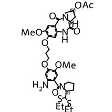 CCSC(SCC)[C@@H]1CCCN1C(=O)c1cc(OC)c(OCCCOc2cc3c(cc2OC)C(=O)N2C[C@H](OC(C)=O)C[C@H]2C(=O)N3)cc1N